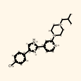 CC(C)CN1CCN(c2cc(-c3nc(-c4ccc(Cl)cc4)c[nH]3)ccn2)CC1